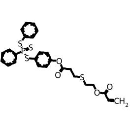 C=CC(=O)OCCSCCC(=O)Oc1ccc(SP(=S)(Sc2ccccc2)c2ccccc2)cc1